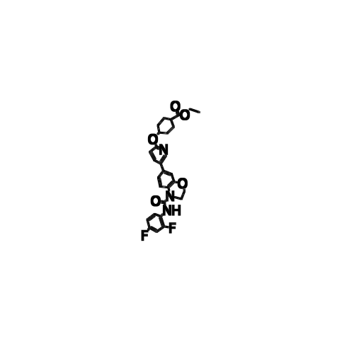 CCOC(=O)C1CCC(Oc2ccc(-c3ccc4c(c3)OCCN4C(=O)Nc3ccc(F)cc3F)cn2)CC1